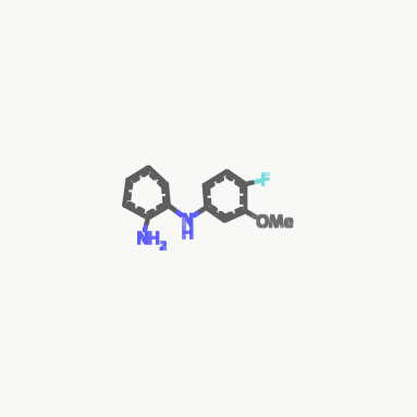 COc1cc(Nc2ccccc2N)ccc1F